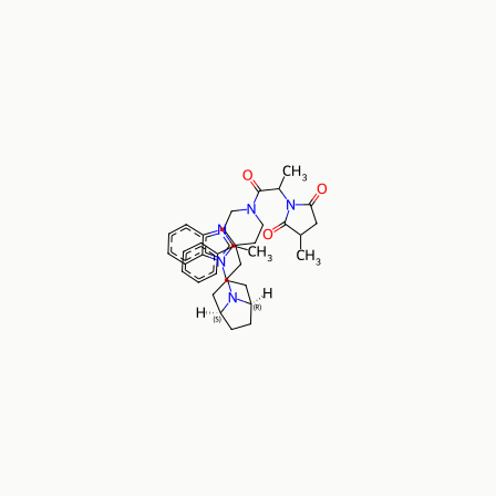 Cc1nc2ccccc2n1C1C[C@H]2CC[C@@H](C1)N2CCC1(c2ccccc2)CCN(C(=O)C(C)N2C(=O)CC(C)C2=O)CC1